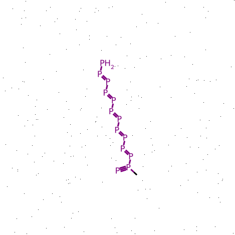 CP(#P)P=PP=PP=PP=PP=PP